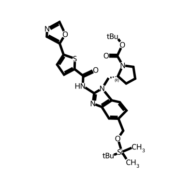 CC(C)(C)OC(=O)N1CCC[C@@H]1Cn1c(NC(=O)c2ccc(-c3cnco3)s2)nc2cc(CO[Si](C)(C)C(C)(C)C)ccc21